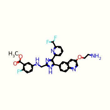 COC(=O)c1cc(NCc2nc(-c3cccc(C(F)F)n3)c(-c3ccc4ncc(OCCN)cc4c3)[nH]2)ccc1F